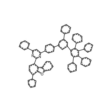 c1ccc(-c2cc(-c3ccc(-c4cc(-c5ccccc5)nc(-c5ccc(-c6ccccc6)c6oc7ccccc7c56)n4)cc3)cc(-c3cc(-c4ccccc4)c(-c4ccccc4)c(-c4ccccc4)c3-c3ccccc3)c2)cc1